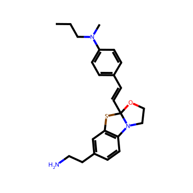 CCCN(C)c1ccc(/C=C/C23OCCN2c2ccc(CCN)cc2S3)cc1